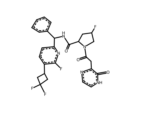 O=C(NC(c1ccccc1)c1ccc(C2CC(F)(F)C2)c(F)n1)C1CC(F)CN1C(=O)Cc1ncc[nH]c1=O